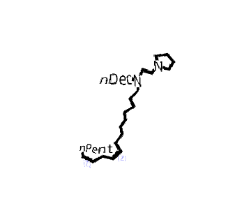 CCCCC/C=C\C/C=C\CCCCCCCCN(CCCCCCCCCC)CCN1CCCC1